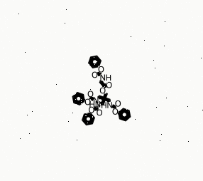 O=C(CNC(=O)Oc1ccccc1)OCC(CNC(=O)Oc1ccccc1)(CNC(=O)Oc1ccccc1)CNC(=O)Oc1ccccc1